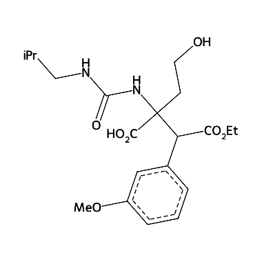 CCOC(=O)C(c1cccc(OC)c1)C(CCO)(NC(=O)NCC(C)C)C(=O)O